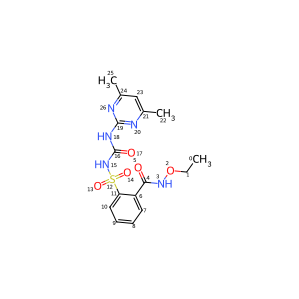 CCONC(=O)c1ccccc1S(=O)(=O)NC(=O)Nc1nc(C)cc(C)n1